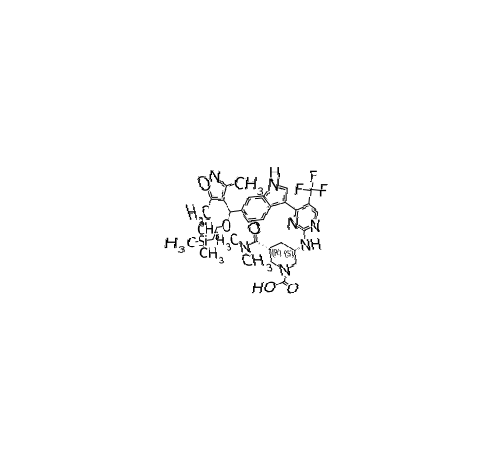 Cc1noc(C)c1C(OCC[Si](C)(C)C)c1ccc2c(-c3nc(N[C@H]4C[C@@H](C(=O)N(C)C)CN(C(=O)O)C4)ncc3C(F)(F)F)c[nH]c2c1